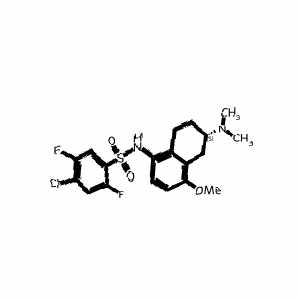 COc1ccc(NS(=O)(=O)c2cc(F)c(Cl)cc2F)c2c1C[C@@H](N(C)C)CC2